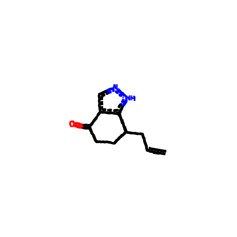 C=CCC1CCC(=O)c2cn[nH]c21